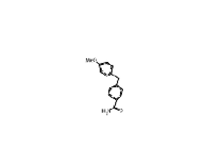 COc1ccc(Cc2ccc(C(N)=O)cc2)cc1